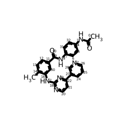 CC(=O)Nc1ccc(NC(=O)c2ccc(C)c(Nc3nccc(-c4cccnc4)n3)c2)cc1